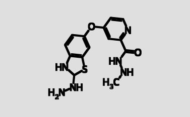 CNNC(=O)c1cc(Oc2ccc3c(c2)SC(NN)N3)ccn1